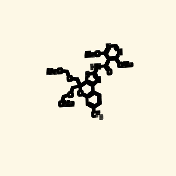 COCOCC1(COCOC)Oc2cc(C(F)(F)F)ccc2-c2nc(NC(=O)c3c(OC)ncnc3OC)sc21